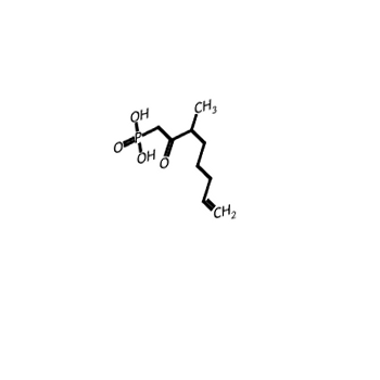 C=CCCCC(C)C(=O)CP(=O)(O)O